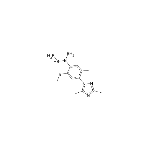 BBB(B)c1cc(C)c(-n2nc(C)nc2C)cc1SC